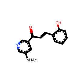 CC(=O)Nc1cncc(C(=O)/C=C/c2ccccc2O)c1